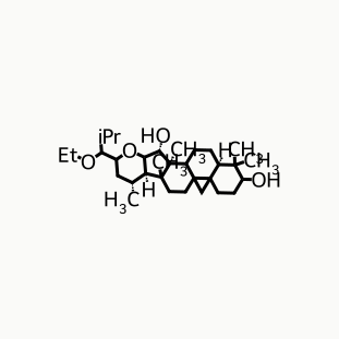 CCOC(C(C)C)C1C[C@@H](C)[C@H]2C(O1)[C@H](O)[C@@]1(C)C3CC[C@H]4C(C)(C)C(O)CCC45CC35CCC21C